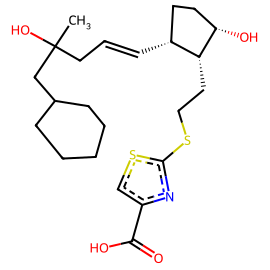 CC(O)(C/C=C/[C@@H]1CC[C@H](O)[C@@H]1CCSc1nc(C(=O)O)cs1)CC1CCCCC1